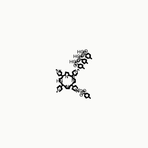 C[n+]1ccc(-c2c3nc(c(-c4cc[n+](C)cc4)c4ccc([nH]4)c(-c4cc[n+](C)cc4)c4nc(c(-c5cc[n+](C)cc5)c5ccc2[nH]5)C=C4)C=C3)cc1.Cc1ccc(S(=O)(=O)O)cc1.Cc1ccc(S(=O)(=O)O)cc1.Cc1ccc(S(=O)(=O)O)cc1.Cc1ccc(S(=O)(=O)O)cc1